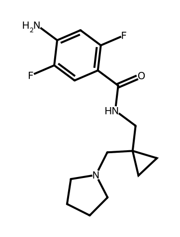 Nc1cc(F)c(C(=O)NCC2(CN3CCCC3)CC2)cc1F